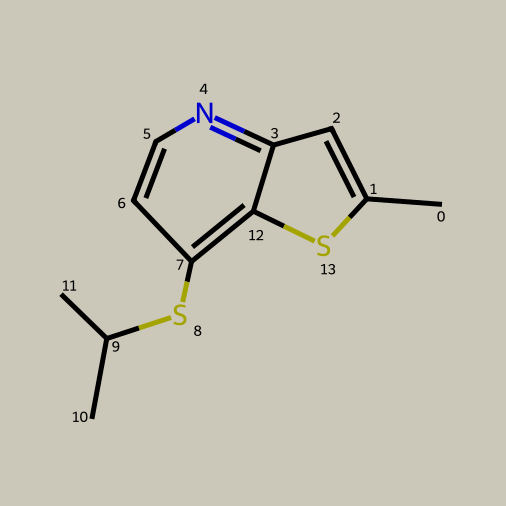 Cc1cc2nccc(SC(C)C)c2s1